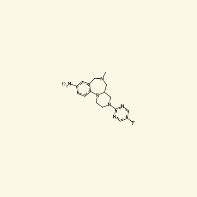 CN1Cc2cc([N+](=O)[O-])ccc2N2CCN(c3ncc(F)cn3)CC2C1